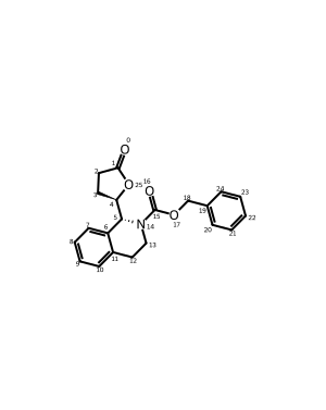 O=C1CC[C@H]([C@H]2c3ccccc3CCN2C(=O)OCc2ccccc2)O1